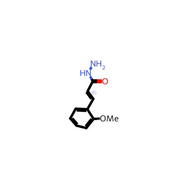 COc1ccccc1/C=C/C(=O)NN